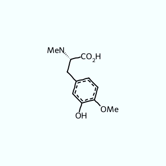 CN[C@@H](Cc1ccc(OC)c(O)c1)C(=O)O